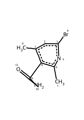 Cc1cc(Br)nc(C)c1C(N)=O